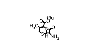 CC1=C(C(=O)OC(C)(C)C)N2C(=O)C(N)[C@@H]2SC1